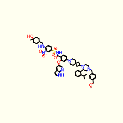 COCc1ccc(CN2CCN(C3CC4(CCN(c5ccc(C(=O)NS(=O)(=O)c6ccc(NCC7CCC(C)(O)CC7)c([N+](=O)[O-])c6)c(Oc6cnc7[nH]ccc7c6)c5)CC4)C3)C(c3ccccc3C(C)C)C2)cc1